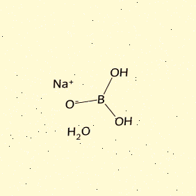 O.[Na+].[O-]B(O)O